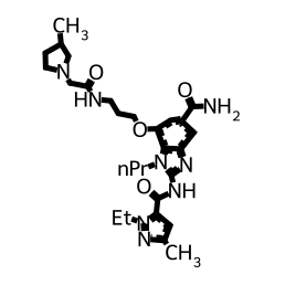 CCCn1c(NC(=O)c2cc(C)nn2CC)nc2cc(C(N)=O)cc(OCCCNC(=O)CN3CCC(C)C3)c21